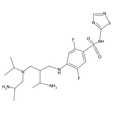 CC(N)CN(CC(CNc1cc(F)c(S(=O)(=O)Nc2ncns2)cc1F)C(C)N)C(C)C